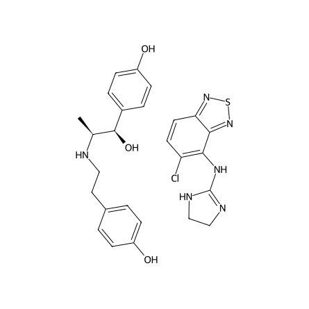 C[C@H](NCCc1ccc(O)cc1)[C@H](O)c1ccc(O)cc1.Clc1ccc2nsnc2c1NC1=NCCN1